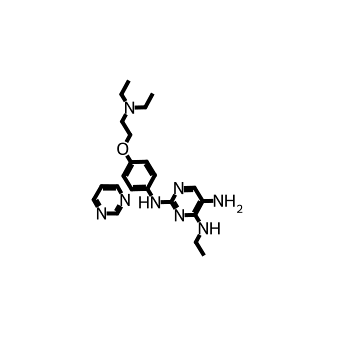 CCNc1nc(Nc2ccc(OCCN(CC)CC)cc2)ncc1N.c1cncnc1